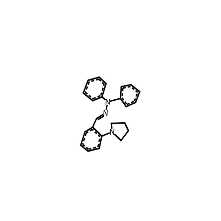 C(=N\N(c1ccccc1)c1ccccc1)/c1ccccc1N1CCCC1